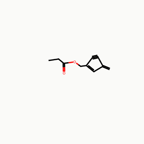 C=C1C#CC(COC(=O)CC)=C1